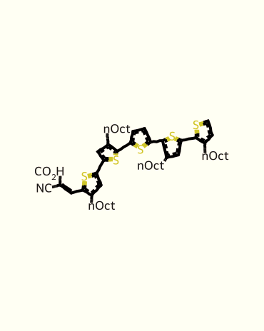 CCCCCCCCc1cc(-c2cc(CCCCCCCC)c(-c3ccc(-c4sc(-c5sccc5CCCCCCCC)cc4CCCCCCCC)s3)s2)sc1C=C(C#N)C(=O)O